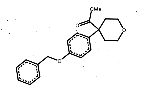 COC(=O)C1(c2ccc(OCc3ccccc3)cc2)CCOCC1